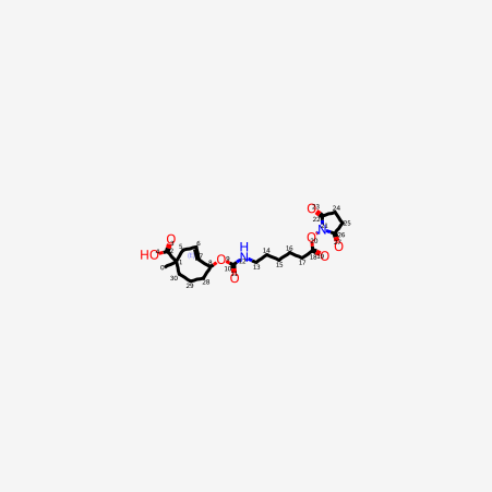 CC1(C(=O)O)C/C=C/C(OC(=O)NCCCCCC(=O)ON2C(=O)CCC2=O)CCC1